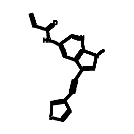 C=CC(=O)Nc1cnc2c(c1)c(C#Cc1ccsc1)cn2C